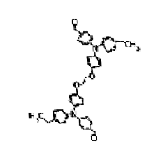 CCc1ccc(N(c2ccc(C=O)cc2)c2ccc(OCCOc3ccc(N(c4ccc(C=O)cc4)c4ccc(CC)cc4)cc3)cc2)cc1